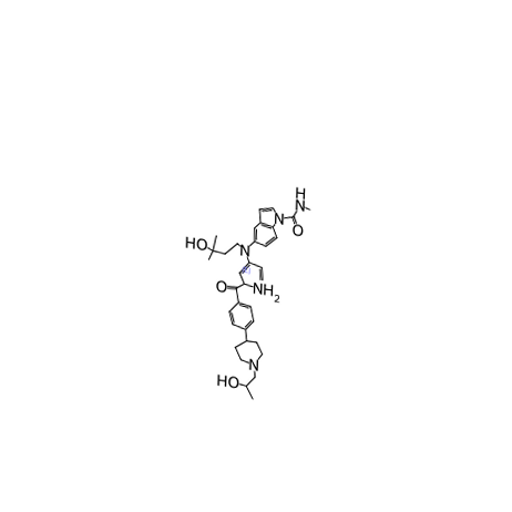 C=C/C(=C\C(N)C(=O)c1ccc(C2CCN(CC(C)O)CC2)cc1)N(CCC(C)(C)O)c1ccc2c(ccn2C(=O)NC)c1